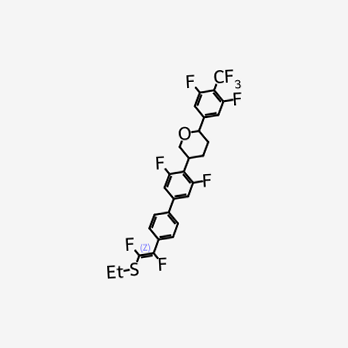 CCS/C(F)=C(\F)c1ccc(-c2cc(F)c(C3CCC(c4cc(F)c(C(F)(F)F)c(F)c4)OC3)c(F)c2)cc1